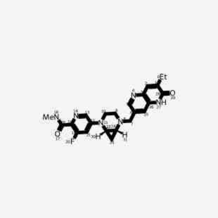 CCc1cc2ncc(CN3CCN(c4cnc(C(=O)NC)c(F)c4)[C@H]4C[C@H]43)cc2[nH]c1=O